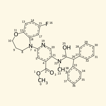 COC(=O)c1cc(N2CCCOc3ccc(F)cc32)ncc1N(C)C(O)C(c1ccccc1)c1ccccc1